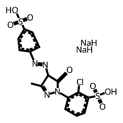 CC1=NN(c2cccc(S(=O)(=O)O)c2Cl)C(=O)C1/N=N/c1ccc(S(=O)(=O)O)cc1.[NaH].[NaH]